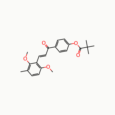 COc1ccc(C)c(OC)c1C=CC(=O)c1ccc(OC(=O)C(C)(C)C)cc1